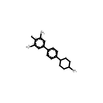 BC1CCC(c2ccc(-c3cc(P)c(C)c(P)c3)cc2)CC1